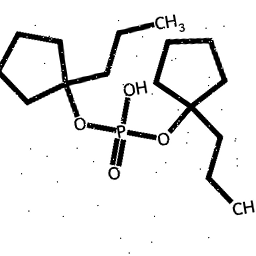 CCCC1(OP(=O)(O)OC2(CCC)CCCC2)CCCC1